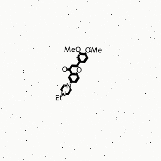 CCN1CCN(c2ccc3oc(-c4ccc(OC)c(OC)c4)cc(=O)c3c2)CC1